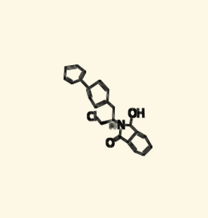 O=C1c2ccccc2C(O)N1[C@@H](CCl)Cc1ccc(-c2ccccc2)cc1